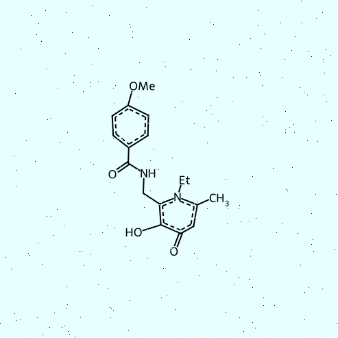 CCn1c(C)cc(=O)c(O)c1CNC(=O)c1ccc(OC)cc1